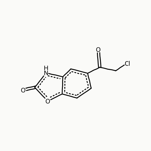 O=C(CCl)c1ccc2oc(=O)[nH]c2c1